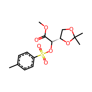 COC(=O)C(OS(=O)(=O)c1ccc(C)cc1)[C@@H]1COC(C)(C)O1